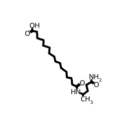 CC(CCC(N)=O)NC(=O)CCCCCCCCCCCCCCC(=O)O